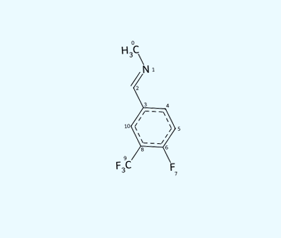 C/N=C/c1ccc(F)c(C(F)(F)F)c1